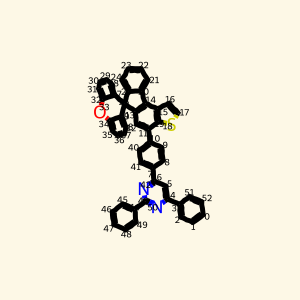 c1ccc(-c2cc(-c3ccc(-c4cc5c(c6ccsc46)-c4ccccc4C54c5ccccc5Oc5ccccc54)cc3)nc(-c3ccccc3)n2)cc1